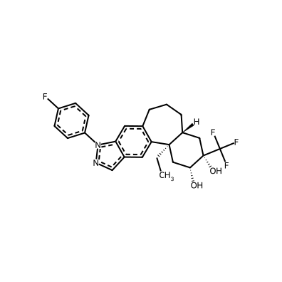 CC[C@@]12C[C@@H](O)[C@](O)(C(F)(F)F)C[C@H]1CCCc1cc3c(cnn3-c3ccc(F)cc3)cc12